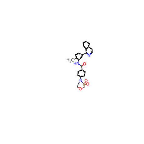 Cc1ccc(-c2nccc3ccccc23)cc1NC(=O)c1ccc(N2CCOCS2(=O)=O)cc1